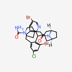 NC(=O)N1CCC(CC(=O)N2[C@@H]3CC[C@H]2CC(C2c4ncc(Br)cc4CCc4cc(Cl)cc(Br)c42)C3)CC1